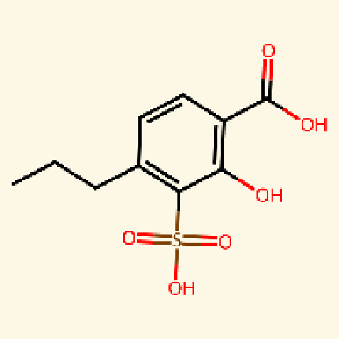 CCCc1ccc(C(=O)O)c(O)c1S(=O)(=O)O